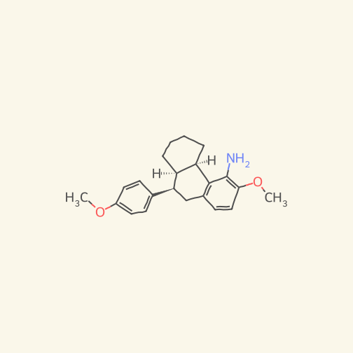 COc1ccc([C@@H]2Cc3ccc(OC)c(N)c3[C@@H]3CCCC[C@H]23)cc1